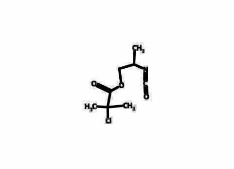 CC(COC(=O)C(C)(C)Cl)N=C=O